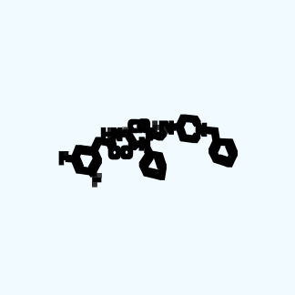 C[C@H](NC(=O)Cc1cc(F)cc(F)c1)C(=O)N(C(=O)CNC1CCN(Cc2ccccc2)CC1)c1ccccc1